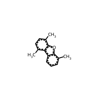 Cc1cccc2c1oc1c(C)ccc(C)c12